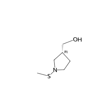 CSN1CC[C@@H](CO)C1